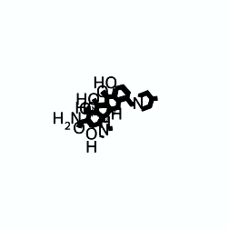 CC1CCN(Cc2ccc(O)c3c2C[C@H]2C[C@H]4C(N(C)C)C(O)=C(C(N)=O)C(=O)[C@@]4(O)C(O)=C2C3=O)CC1